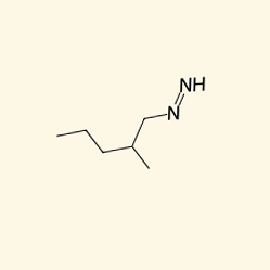 CCCC(C)CN=N